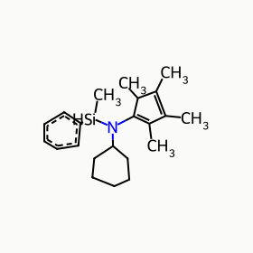 CC1=C(C)C(C)C(N(C2CCCCC2)[SiH](C)c2ccccc2)=C1C